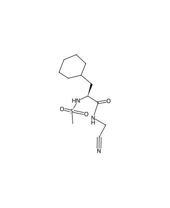 CS(=O)(=O)N[C@@H](CC1CCCCC1)C(=O)NCC#N